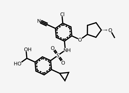 CO[C@H]1CCC(Oc2cc(Cl)c(C#N)cc2NS(=O)(=O)c2cc(C(O)O)ccc2C2CC2)C1